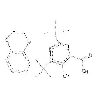 C1=COc2ccccc2C1.CC(C)(C)c1cc(C(=O)O)c(O)c(C(C)(C)C)c1